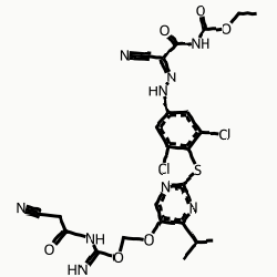 CCOC(=O)NC(=O)/C(C#N)=N/Nc1cc(Cl)c(Sc2ncc(OCOC(=N)NC(=O)CC#N)c(C(C)C)n2)c(Cl)c1